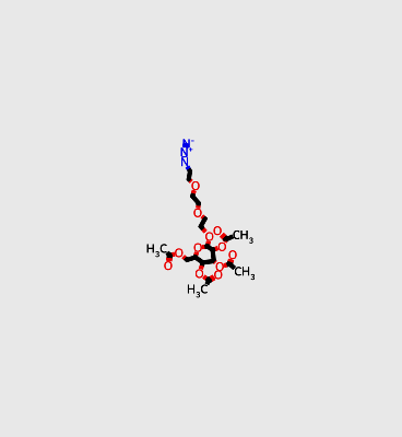 CC(=O)OCC1OC(OCCOCCOCCN=[N+]=[N-])C(OC(C)=O)C(OC(C)=O)C1OC(C)=O